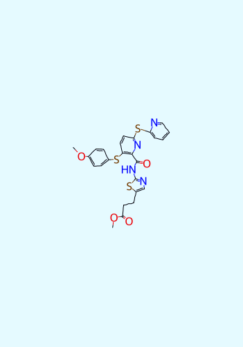 COC(=O)CCc1cnc(NC(=O)c2nc(Sc3ccccn3)ccc2Sc2ccc(OC)cc2)s1